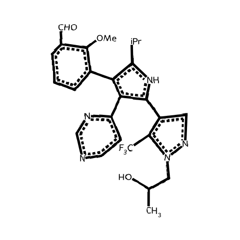 COc1c(C=O)cccc1-c1c(C(C)C)[nH]c(-c2cnn(CC(C)O)c2C(F)(F)F)c1-c1ccncn1